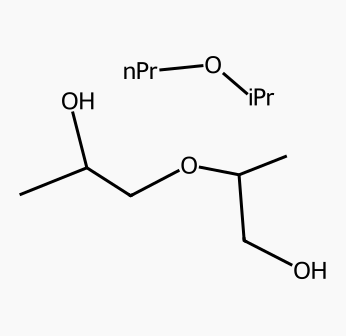 CC(O)COC(C)CO.CCCOC(C)C